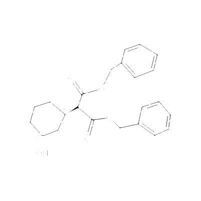 O=C(OCc1ccccc1)C(C(=O)OCc1ccccc1)[C@@H]1CCC[C@@H](O)C1